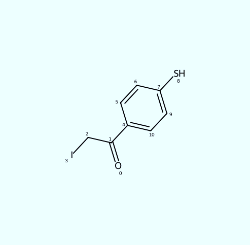 O=C(CI)c1ccc(S)cc1